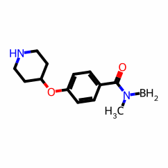 BN(C)C(=O)c1ccc(OC2CCNCC2)cc1